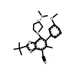 COc1cccc(-c2c(C)c(C#N)c3nc(C(C)(C)C)oc3c2N2CC[C@H](N(C)C)C2)c1